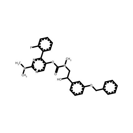 CN(CC(O)c1cccc(OCc2ccccc2)c1)C(=O)Oc1cnc(N(C)C)nc1-c1ccccc1F